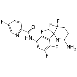 NC1=NC(CF)(c2cc(NC(=O)c3ccc(F)cn3)cc(F)c2F)C(F)(F)CC1